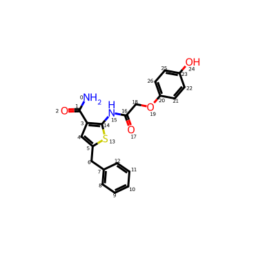 NC(=O)c1cc(Cc2ccccc2)sc1NC(=O)COc1ccc(O)cc1